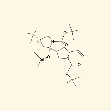 C=CC1CC([C@@]2(O[SiH](C)C)C[C@H](C(C)(C)C)CN2C(=O)OC(C)(C)C)CN1C(=O)OC(C)(C)C